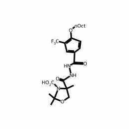 CCCCCCCCOc1ccc(C(=O)NNC(=O)C2(C)COC(C)(C)N2C(=O)O)cc1C(F)(F)F